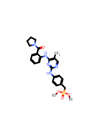 CCOP(=O)(Cc1ccc(Nc2ncc(C(F)(F)F)c(Nc3ccccc3C(=O)N3CCCC3)n2)cc1)OCC